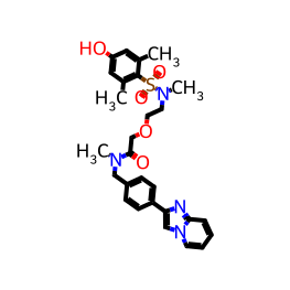 Cc1cc(O)cc(C)c1S(=O)(=O)N(C)CCOCC(=O)N(C)Cc1ccc(-c2cn3ccccc3n2)cc1